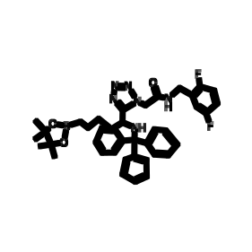 CC1(C)OB(CCCCC(NC(c2ccccc2)(c2ccccc2)c2ccccc2)c2nnnn2CC(=O)NCc2cc(F)ccc2F)OC1(C)C